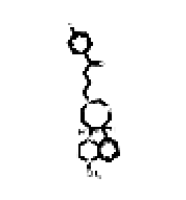 CN1CCN2c3c(cccc31)[C@H]1CSCN(CCCC(=O)c3ccc(F)cc3)CC[C@@H]12